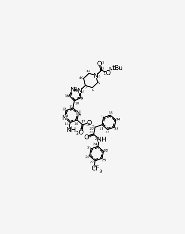 CC(C)(C)OC(=O)N1CCC(n2cc(-c3cnc(N)c(C(=O)O[C@@H](C(=O)Nc4ccc(C(F)(F)F)cc4)c4ccccc4)n3)cn2)CC1